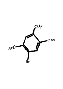 CC(=O)Oc1cc(C(=O)O)c(OC(C)=O)cc1Br